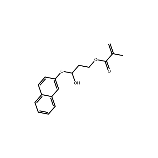 C=C(C)C(=O)OCCC(O)Oc1ccc2ccccc2c1